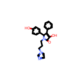 O=C1C(O)=C(c2ccccc2)C(c2ccc(O)cc2)N1CCCn1ccnc1